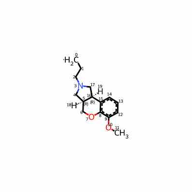 [CH2]CCN1C[C@@H]2COc3c(OC)cccc3[C@@H]2C1